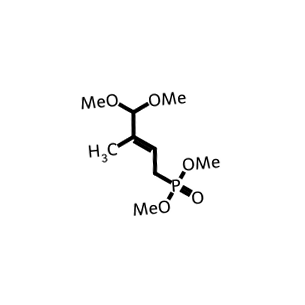 COC(OC)C(C)=CCP(=O)(OC)OC